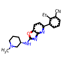 CCc1c(C#N)cccc1-c1ccc2oc(N[C@@H]3CCCN(C)C3)nc2n1